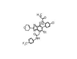 C=CC(=O)Nc1cc(Cl)ccc1-c1c(CC)n(CC(=O)Nc2ccc(C(F)(F)F)cc2)c2nc(C3=CCOCC3)nn2c1=O